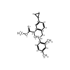 COC(=S)N(O)c1cc(C2CC2)ccc1COc1ccc(C)cc1C